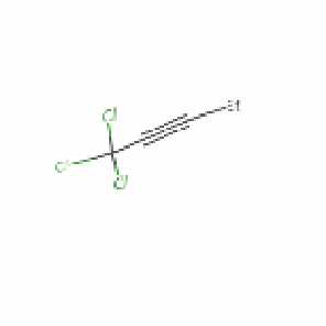 [CH2]CC#CC(Cl)(Cl)Cl